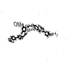 COc1cc2c(cc1OCCCOc1cc3c(cc1OC)C(=O)N1C=C(c4ccc(N)cc4)C[C@H]1C=N3)N=C[C@@H]1CC(c3ccc4c(c3)OCO4)=CN1C2